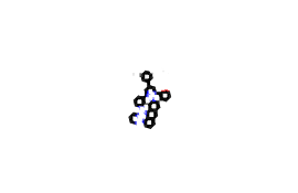 CC(C)(C)c1cc(-c2cc(-c3cccc(N(c4ccccn4)c4c5ccccc5cc5ccccc45)c3)nc(-c3ccccc3O)c2)cc(C(C)(C)C)c1